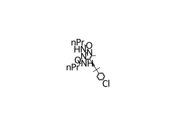 CCCC(=O)Nc1nc(C)c(C#CC(C)(C)c2ccc(Cl)cc2)c(NC(=O)CCC)n1